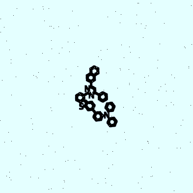 c1ccc(-c2cc(-c3ccc4ccccc4c3)nc(-c3cccc4sc5cc(-c6cccc(N(c7ccccc7)c7ccccc7)c6)ccc5c34)n2)cc1